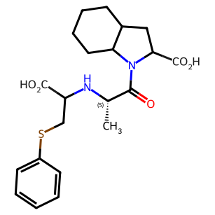 C[C@H](NC(CSc1ccccc1)C(=O)O)C(=O)N1C(C(=O)O)CC2CCCCC21